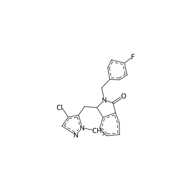 Cn1ncc(Cl)c1CC1c2ccccc2C(=O)N1Cc1ccc(F)cc1